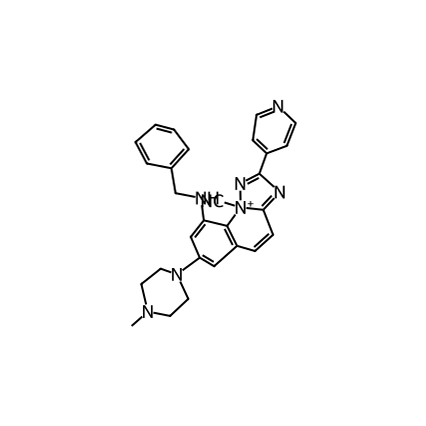 CN1CCN(c2cc3c(c(NCc4ccccc4)c2)[N+]2(C#N)N=C(c4ccncc4)N=C2C=C3)CC1